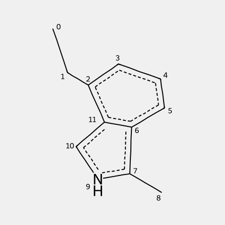 CCc1cccc2c(C)[nH]cc12